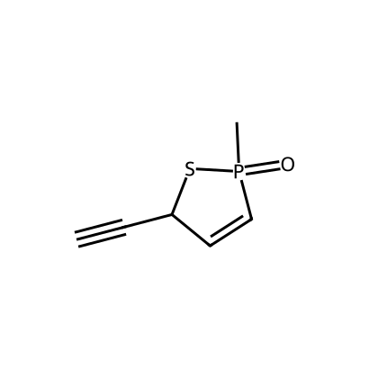 C#CC1C=CP(C)(=O)S1